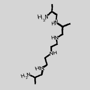 CC(N)CNCCNCCNCC(C)NCC(C)N